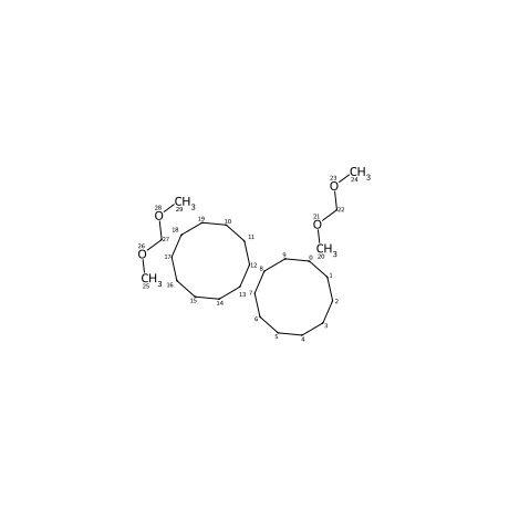 C1CCCCCCCCC1.C1CCCCCCCCC1.COCOC.COCOC